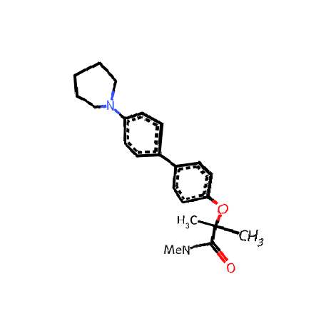 CNC(=O)C(C)(C)Oc1ccc(-c2ccc(N3CCCCC3)cc2)cc1